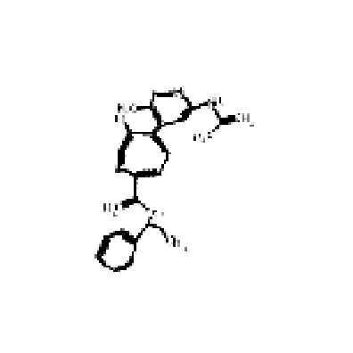 C=C(C)Nc1cc(C2=CC=C(C(=C)NC(C)c3ccccc3)C=C=C2CC)c(C)cn1